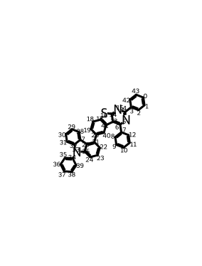 c1ccc(-c2nc(-c3ccccc3)c3c(n2)sc2ccc(-c4cccc5c4c4ccccc4n5-c4ccccc4)cc23)cc1